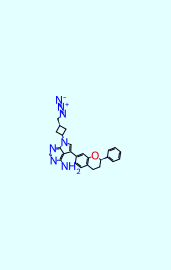 [N-]=[N+]=NC[C@H]1C[C@@H](n2cc(-c3ccc4c(c3)O[C@@H](c3ccccc3)CC4)c3c(N)ncnc32)C1